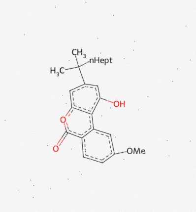 CCCCCCCC(C)(C)c1cc(O)c2c(c1)oc(=O)c1ccc(OC)cc12